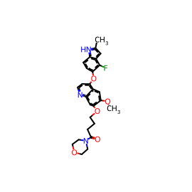 COc1cc2c(Oc3ccc4[nH]c(C)cc4c3F)ccnc2cc1OCCCC(=O)N1CCOCC1